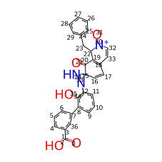 O=C(O)c1cccc(-c2cccc(N3NC34C=CC3=C(C4=O)C(Cc4ccccc4)[N+](=O)C=C3)c2O)c1